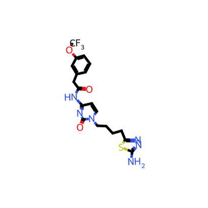 Nc1nnc(CCCCn2ccc(NC(=O)Cc3cccc(OC(F)(F)F)c3)nc2=O)s1